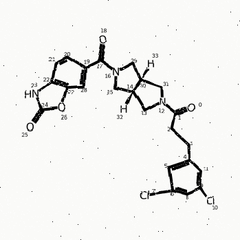 O=C(CCc1cc(Cl)cc(Cl)c1)N1C[C@@H]2CN(C(=O)c3ccc4[nH]c(=O)oc4c3)C[C@@H]2C1